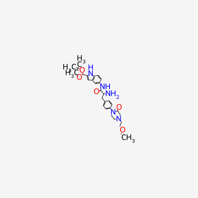 CCOCCN1CCN(c2ccc(CC(N)C(=O)Nc3ccc4[nH]c(C(=O)OC(C)(C)C)cc4c3)cc2)C(=O)C1